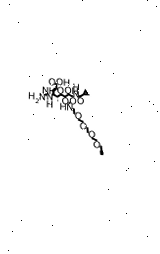 C#CCOCCOCCOCCOCCNC(=O)O[C@@H]([C@@H]1OC(C(=O)O)=C[C@H](NC(=N)N)[C@H]1C)[C@H](O)CNC(=O)C1CC1